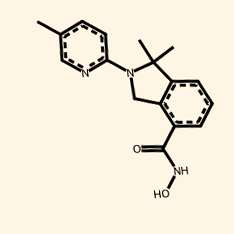 Cc1ccc(N2Cc3c(C(=O)NO)cccc3C2(C)C)nc1